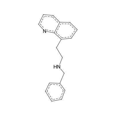 c1ccc(CNCCc2cccc3cccnc23)cc1